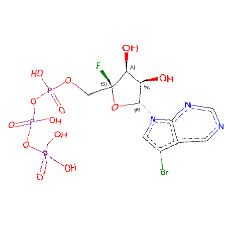 O=P(O)(O)OP(=O)(O)OP(=O)(O)OC[C@@]1(F)O[C@@H](n2cc(Br)c3cncnc32)[C@H](O)[C@@H]1O